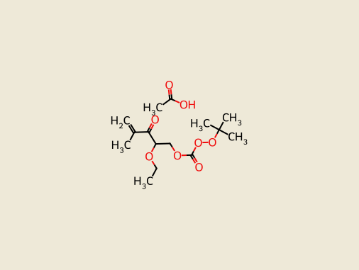 C=C(C)C(=O)C(COC(=O)OOC(C)(C)C)OCC.CC(=O)O